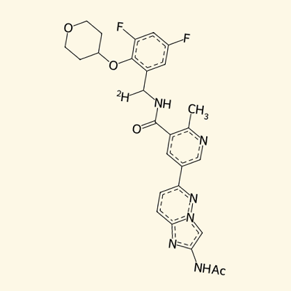 [2H]C(NC(=O)c1cc(-c2ccc3nc(NC(C)=O)cn3n2)cnc1C)c1cc(F)cc(F)c1OC1CCOCC1